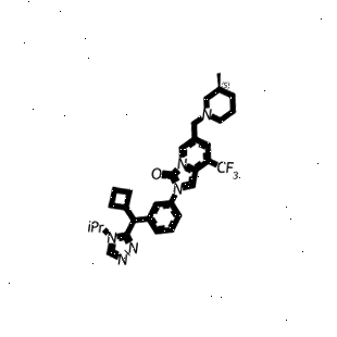 CC(C)n1cnnc1C(c1cccc(-n2cc3c(C(F)(F)F)cc(CN4CCC[C@H](C)C4)cn3c2=O)c1)C1CCC1